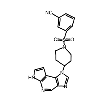 N#Cc1cccc(S(=O)(=O)N2CCC(n3cnc4cnc5[nH]ccc5c43)CC2)c1